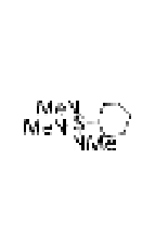 CN[Si](NC)(NC)C1CCCCC1